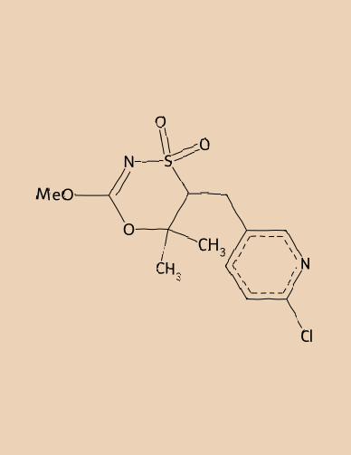 COC1=NS(=O)(=O)C(Cc2ccc(Cl)nc2)C(C)(C)O1